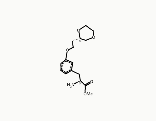 COC(=O)[C@@H](N)Cc1cccc(OCC[C@H]2COCCO2)c1